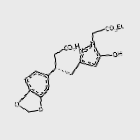 CCOC(=O)Cn1nc(C[C@@H](CC(=O)O)c2ccc3c(c2)OCO3)cc1O